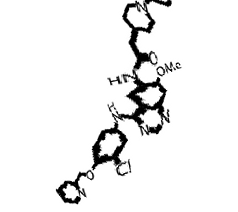 COCCN1CCC(=CC(=O)Nc2cc3c(Nc4ccc(OCc5ccccn5)c(Cl)c4)ncnc3cc2OC)CC1